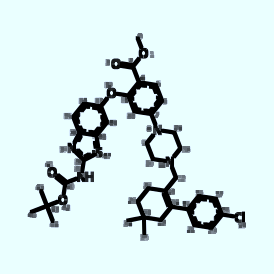 COC(=O)c1ccc(N2CCN(CC3=C(c4ccc(Cl)cc4)CC(C)(C)CC3)CC2)cc1Oc1ccc2nc(NC(=O)OC(C)(C)C)sc2c1